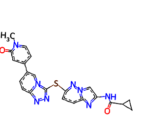 Cn1ccc(-c2ccc3nnc(Sc4ccc5nc(NC(=O)C6CC6)cn5n4)n3c2)cc1=O